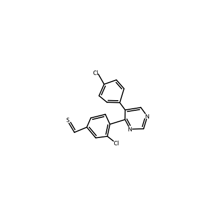 S=Cc1ccc(-c2ncncc2-c2ccc(Cl)cc2)c(Cl)c1